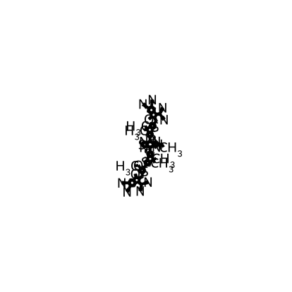 CCn1nc2c(-c3cc4c(s3)-c3sc(/C=C5\C(=O)c6cc(C#N)c(C#N)cc6C5=C(C#N)C#N)cc3C4(C)C)c3c(c(-c4cc5c(s4)-c4sc(-c6sc(/C=C7\C(=O)c8cc(C#N)c(C#N)cc8C7=C(C#N)C#N)cc6OC)cc4C5(C)C)c2n1)N=S=N3